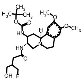 COc1cc2c(cc1OC)[C@@H]1CC(NC(=O)OC(C)(C)C)[C@@H](NC(=O)CC(CO)CF)CN1CC2